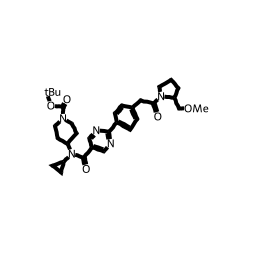 COCC1CCCN1C(=O)Cc1ccc(-c2ncc(C(=O)N(C3CC3)C3CCN(C(=O)OC(C)(C)C)CC3)cn2)cc1